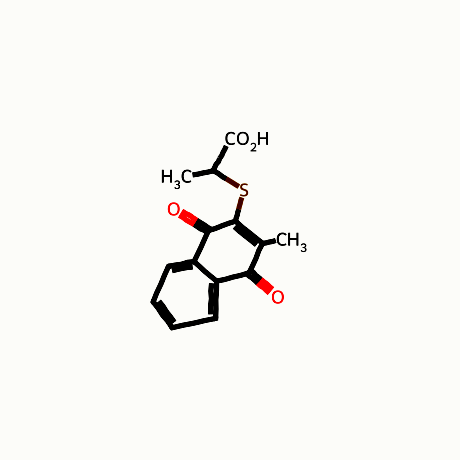 CC1=C(SC(C)C(=O)O)C(=O)c2ccccc2C1=O